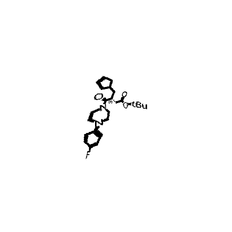 CC(C)(C)OC(=O)C[C@@H](CC1CCCC1)C(=O)N1CCN(c2ccc(F)cc2)CC1